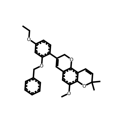 CCOc1ccc(C2=Cc3cc(OC)c4c(c3OC2)C=CC(C)(C)O4)c(OCc2ccccc2)c1